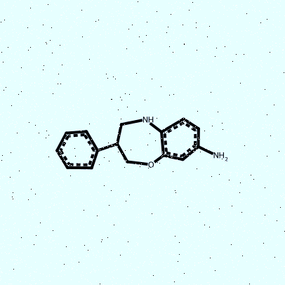 Nc1ccc2c(c1)OCC(c1ccccc1)CN2